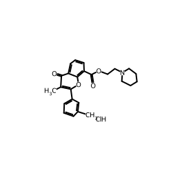 Cc1cccc(-c2oc3c(C(=O)OCCN4CCCCC4)cccc3c(=O)c2C)c1.Cl